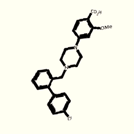 COc1cc(N2CCN(Cc3ccccc3-c3ccc(Cl)cc3)CC2)ccc1C(=O)O